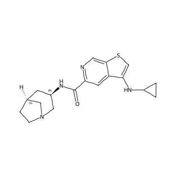 O=C(N[C@@H]1C[C@@H]2CCN(C2)C1)c1cc2c(NC3CC3)csc2cn1